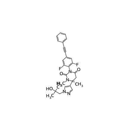 CN1C(=O)N(c2c(F)cc(C#Cc3ccccc3)cc2F)C(=O)C[C@@]1(C)c1cnn(CC(C)(C)O)c1